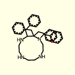 c1ccc(CC2NCCNCCNCCN(Cc3ccccc3)C2(Cc2ccccc2)Cc2ccccc2)cc1